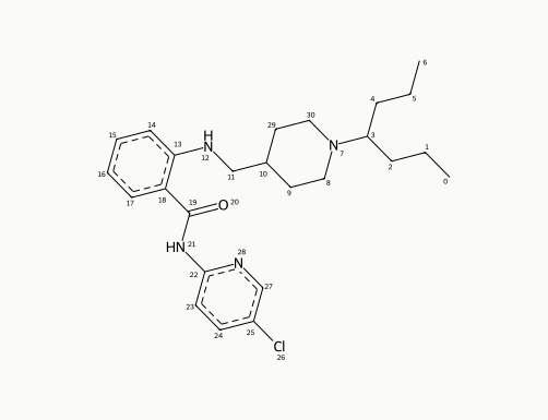 CCCC(CCC)N1CCC(CNc2ccccc2C(=O)Nc2ccc(Cl)cn2)CC1